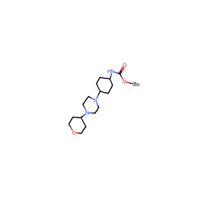 CC(C)(C)OC(=O)NC1CCC(N2CCN(C3CCOCC3)CC2)CC1